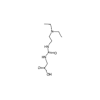 CCN(CC)CCNC(=O)NCC(=O)O